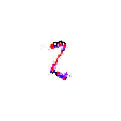 CC1=C(O)C(=O)C=C2C1=CC=C1C2(C)CCC2C3CC(C)(C(=O)NCCCOCCOCCOCCNC(=O)N4CCCC(c5ccc(N6C=C7C=CC=C(C(N)=O)C7N6)cc5)C4)CCC3(C)CCC12C